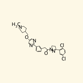 CN1CCC(COc2cnc(-c3cccc(CC(=O)N4CCC(c5cc(Cl)ccc5Cl)=N4)c3)nc2)CC1